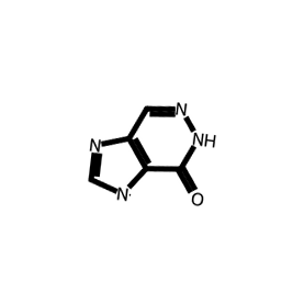 O=c1[nH]ncc2c1[N]C=N2